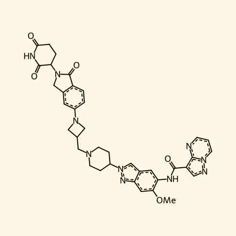 COc1cc2nn(C3CCN(CC4CN(c5ccc6c(c5)CN(C5CCC(=O)NC5=O)C6=O)C4)CC3)cc2cc1NC(=O)c1cnn2cccnc12